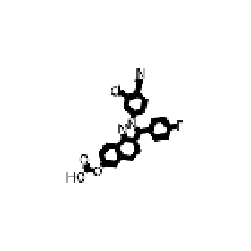 N#Cc1ccc(N2N=C3c4ccc(OC(=O)O)cc4CCC3C2c2ccc(F)cc2)cc1Cl